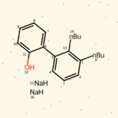 CCCCc1cccc(-c2ccccc2O)c1CCCC.[NaH].[NaH]